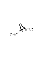 CC[C@H]1O[C@H]1C=O